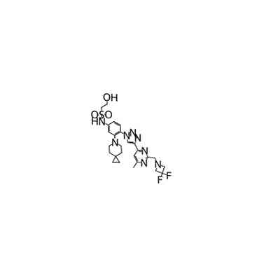 Cc1cc(-c2cn(-c3ccc(NS(=O)(=O)CCO)cc3N3CCC4(CC3)CC4)nn2)nc(CN2CC(F)(F)C2)n1